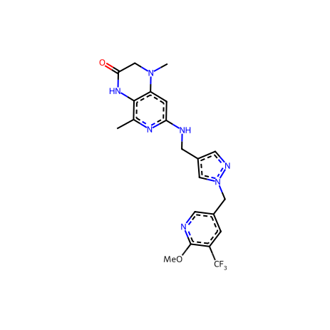 COc1ncc(Cn2cc(CNc3cc4c(c(C)n3)NC(=O)CN4C)cn2)cc1C(F)(F)F